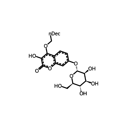 CCCCCCCCCCCOc1c(O)c(=O)oc2cc(O[C@H]3O[C@H](CO)[C@@H](O)[C@H](O)[C@@H]3O)ccc12